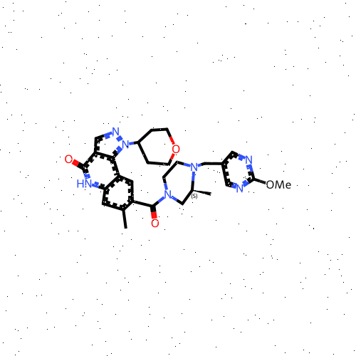 COc1ncc(CN2CCN(C(=O)c3cc4c(cc3C)[nH]c(=O)c3cnn(C5CCOCC5)c34)C[C@@H]2C)cn1